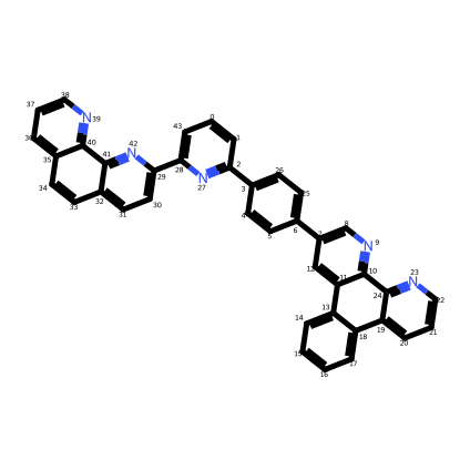 c1cc(-c2ccc(-c3cnc4c(c3)c3ccccc3c3cccnc34)cc2)nc(-c2ccc3ccc4cccnc4c3n2)c1